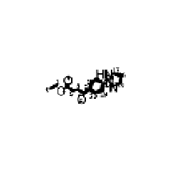 CCOC(=O)CCC(=O)c1ccc(N2N=CC=CN2)cc1